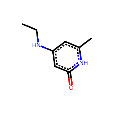 CCNc1cc(C)[nH]c(=O)c1